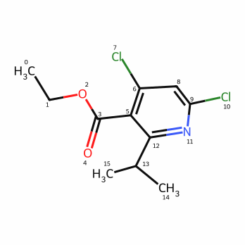 CCOC(=O)c1c(Cl)cc(Cl)nc1C(C)C